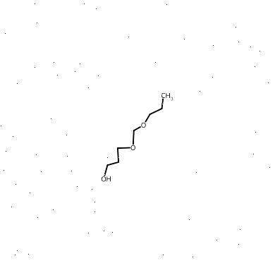 CCCO[CH]OCCCO